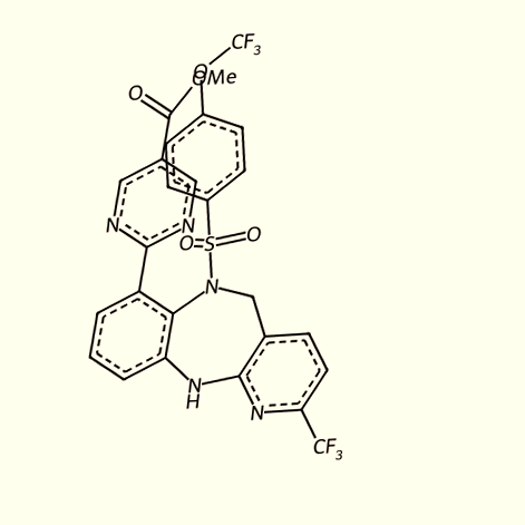 COC(=O)c1cnc(-c2cccc3c2N(S(=O)(=O)c2ccc(OC(F)(F)F)cc2)Cc2ccc(C(F)(F)F)nc2N3)nc1